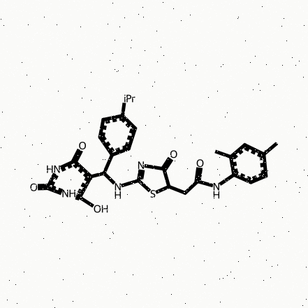 Cc1ccc(NC(=O)CC2SC(NC(c3ccc(C(C)C)cc3)c3c(O)[nH]c(=O)[nH]c3=O)=NC2=O)c(C)c1